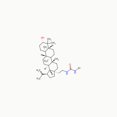 C=C(C)[C@@H]1CC[C@]2(CCNC(=O)NCC)CC[C@]3(C)[C@H](CC[C@@H]4[C@@]5(C)CC[C@H](O)C(C)(C)[C@@H]5CC[C@]43C)[C@@H]12